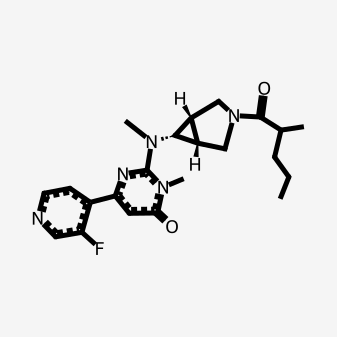 CCCC(C)C(=O)N1C[C@@H]2[C@H](C1)[C@@H]2N(C)c1nc(-c2ccncc2F)cc(=O)n1C